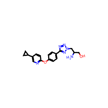 NC(CO)Cn1nnc(-c2ccc(Oc3ccc(C4CC4)cn3)cc2)n1